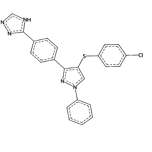 Clc1ccc(Sc2cn(-c3ccccc3)nc2-c2ccc(-c3nnc[nH]3)cc2)cc1